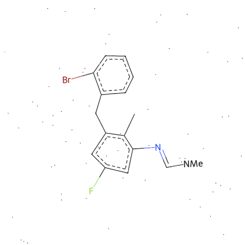 CNC=Nc1cc(F)cc(Cc2ccccc2Br)c1C